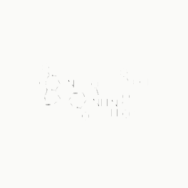 COc1ccc(N(C)c2cc(=O)oc3ccccc23)cc1NC(=O)C(CCC(=O)O)NC(=O)OC(C)(C)C